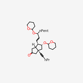 CCCC#C[C@@]12CC(=O)C[C@@H]1[C@@H](C=C[C@H](CCCCC)OC1CCCCO1)[C@H](OC1CCCCO1)C2